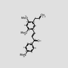 C=CCc1cc(C=CC(=O)c2ccc(NC)cc2)c(OC)cc1OC